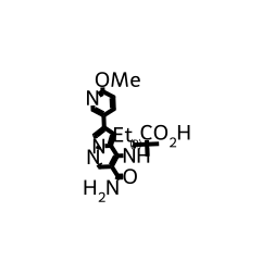 CC[C@@H](Nc1c(C(N)=O)cnn2cc(-c3ccc(OC)nc3)cc12)C(C)(C)C(=O)O